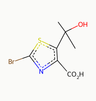 CC(C)(O)c1sc(Br)nc1C(=O)O